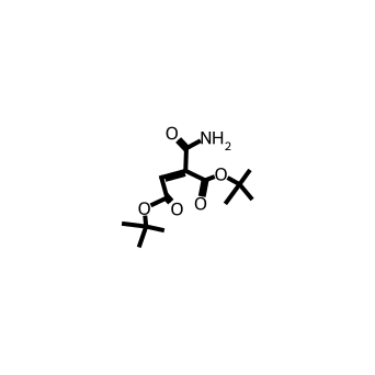 CC(C)(C)OC(=O)C=C(C(N)=O)C(=O)OC(C)(C)C